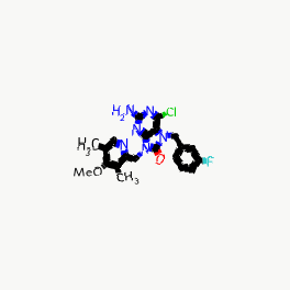 COc1c(C)cnc(Cn2c(=O)n(Cc3cccc(F)c3)c3c(Cl)nc(N)nc32)c1C